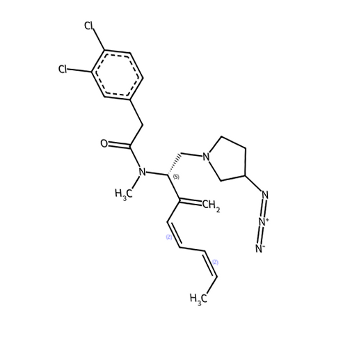 C=C(/C=C\C=C/C)[C@@H](CN1CCC(N=[N+]=[N-])C1)N(C)C(=O)Cc1ccc(Cl)c(Cl)c1